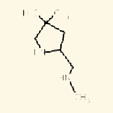 CNCC1CC(C)(C)CN1